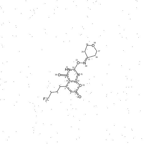 O=c1cc(CCCC(F)(F)F)c2c(=O)[nH]c(ON=C3CCOCC3)nc2o1